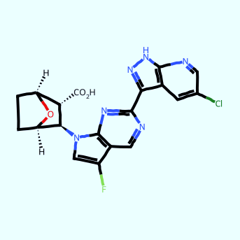 O=C(O)[C@@H]1[C@@H](n2cc(F)c3cnc(-c4n[nH]c5ncc(Cl)cc45)nc32)[C@H]2CC[C@@H]1O2